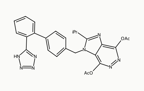 CC(=O)Oc1nnc(OC(C)=O)c2c1nc(C(C)C)n2Cc1ccc(-c2ccccc2-c2nnn[nH]2)cc1